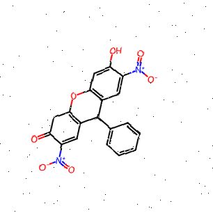 O=C1CC2=C(C=C1[N+](=O)[O-])C(c1ccccc1)c1cc([N+](=O)[O-])c(O)cc1O2